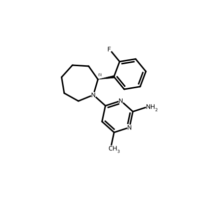 Cc1cc(N2CCCCC[C@H]2c2ccccc2F)nc(N)n1